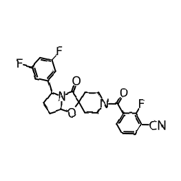 N#Cc1cccc(C(=O)N2CCC3(CC2)OC2CCC(c4cc(F)cc(F)c4)N2C3=O)c1F